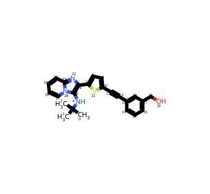 CC(C)(C)Nc1c(-c2ccc(C#Cc3cccc(CO)c3)s2)nc2ccccn12